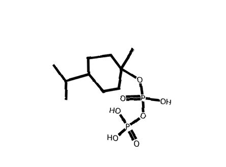 CC(C)C1CCC(C)(OP(=O)(O)OP(=O)(O)O)CC1